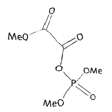 COC(=O)C(=O)OP(=O)(OC)OC